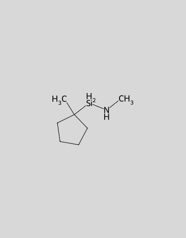 CN[SiH2]C1(C)CCCC1